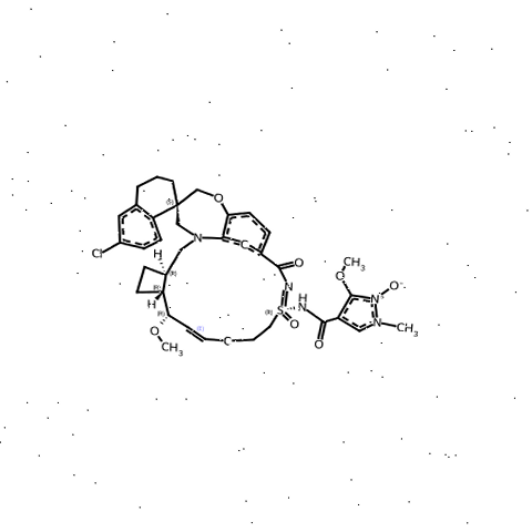 COc1c(C(=O)N[S@@]2(=O)=NC(=O)c3ccc4c(c3)N(C[C@@H]3CC[C@H]3[C@@H](OC)/C=C/CCC2)C[C@@]2(CCCc3cc(Cl)ccc32)CO4)cn(C)[n+]1[O-]